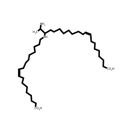 CC(N)C(CCCCCCCC/C=C\CCCCCCCC(=O)O)NCCCCCCCC/C=C\CCCCCCCC(=O)O